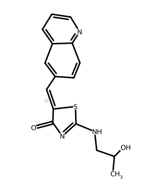 CC(O)CNC1=NC(=O)/C(=C/c2ccc3ncccc3c2)S1